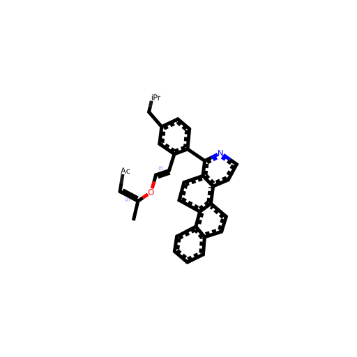 CC(=O)/C=C(/C)O/C=C/c1cc(CC(C)C)ccc1-c1nccc2c1ccc1c3ccccc3ccc21